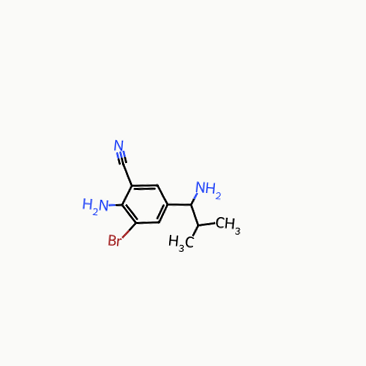 CC(C)C(N)c1cc(Br)c(N)c(C#N)c1